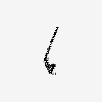 CCc1cc(O)ccc1/N=C(\N)c1cnn2cc(-c3cnc(OCCOCCOCCOCCOCCOCCOCCOCCOC)cc3C)cc2c1NC[C@H]1CCCN1